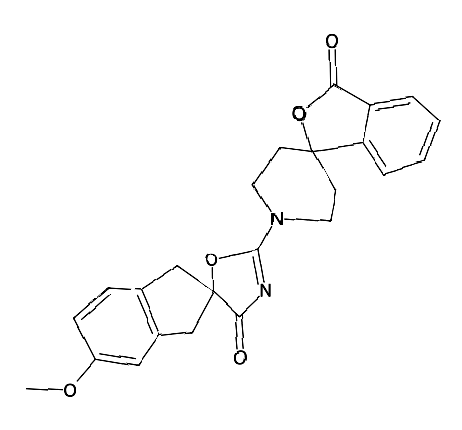 COc1ccc2c(c1)CC1(C2)OC(N2CCC3(CC2)OC(=O)c2ccccc23)=NC1=O